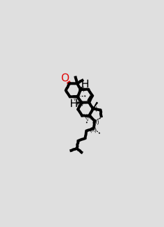 CC(C)CCC[C@@H](C)[C@H]1CC[C@@]2(C)C3=CC[C@H]4C(C)(C)C(=O)CC[C@]4(C)[C@H]3CC[C@]12C